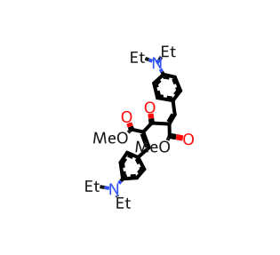 CCN(CC)c1ccc(C=C(C(=O)OC)C(=O)C(=Cc2ccc(N(CC)CC)cc2)C(=O)OC)cc1